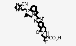 Cn1c(-c2cc3cccc(OCCn4ncnc4C#N)c3n2CC2CC2)nc2cc3c(cc21)CCN(CC(CF)NC(=O)O)C3=O